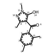 Cc1ccc(C(=O)c2c(C)nn(C)c2O)c(C)c1